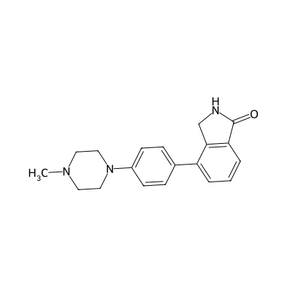 CN1CCN(c2ccc(-c3cccc4c3CNC4=O)cc2)CC1